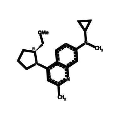 COC[C@H]1CCCN1c1cc(C)nc2cc(N(C)C3CC3)ccc12